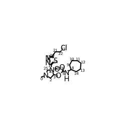 CN1CC(OC(=O)NC2CCCCCC2)[N+]([O-])(c2nnc(CCCl)s2)C1